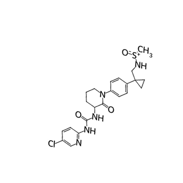 C[S+]([O-])NCC1(c2ccc(N3CCCC(NC(=O)Nc4ccc(Cl)cn4)C3=O)cc2)CC1